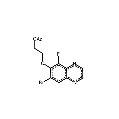 CC(=O)OCCOc1c(Br)cc2nccnc2c1F